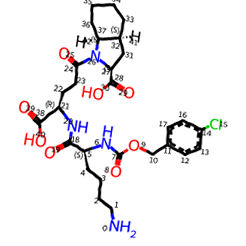 NCCCC[C@H](NC(=O)OCc1ccc(Cl)cc1)C(=O)N[C@H](CCC(=O)N1[C@H](C(=O)O)C[C@@H]2CCCC[C@@H]21)C(=O)O